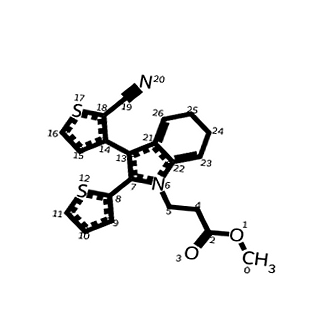 COC(=O)CCn1c(-c2cccs2)c(-c2ccsc2C#N)c2c1=CCCC=2